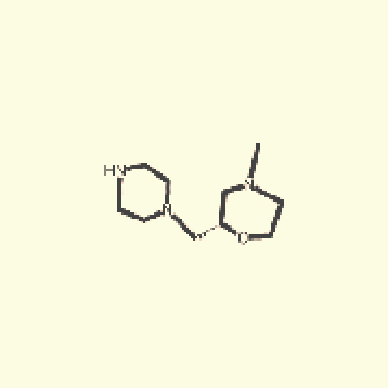 CN1CCO[C@H](CN2CCNCC2)C1